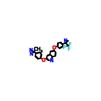 CC1(c2ccc(Oc3cnc4ccc(Oc5ccc(C6(C(F)(F)F)C=N6)cc5)cc4c3)cc2)N=N1